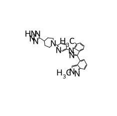 Cc1cccc2c(-c3cccc4nn(C)cc34)nn(-c3ccc(N4CCC(c5nn[nH]n5)CC4)nc3)c12